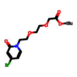 CC(C)(C)OC(=O)COCCOCCn1ccc(Br)cc1=O